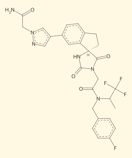 CC(N(Cc1ccc(F)cc1)C(=O)CN1C(=O)N[C@]2(CCc3ccc(-c4cnn(CC(N)=O)c4)cc32)C1=O)C(F)(F)F